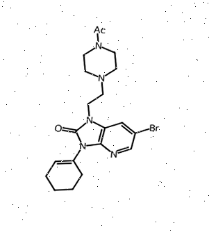 CC(=O)N1CCN(CCn2c(=O)n(C3=CCCCC3)c3ncc(Br)cc32)CC1